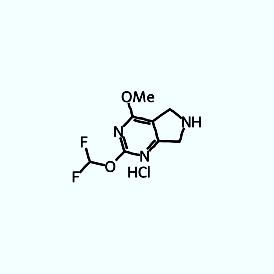 COc1nc(OC(F)F)nc2c1CNC2.Cl